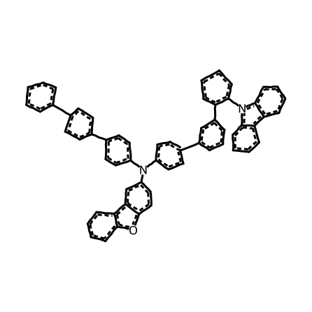 c1ccc(-c2ccc(-c3ccc(N(c4ccc(-c5cccc(-c6ccccc6-n6c7ccccc7c7ccccc76)c5)cc4)c4ccc5oc6ccccc6c5c4)cc3)cc2)cc1